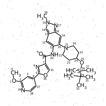 COc1cc(-c2nc(C(=O)Nc3cc4cn(C)nc4cc3N3CCC(O[Si](C)(C)C(C)(C)C)CC3)co2)ccn1